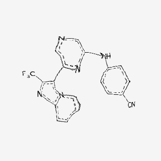 N#Cc1ccc(Nc2cncc(-c3c(C(F)(F)F)nc4ccccn34)n2)cc1